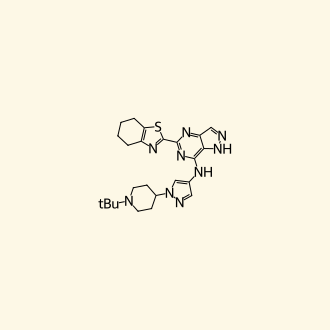 CC(C)(C)N1CCC(n2cc(Nc3nc(-c4nc5c(s4)CCCC5)nc4cn[nH]c34)cn2)CC1